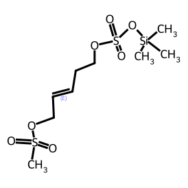 C[Si](C)(C)OS(=O)(=O)OCC/C=C/COS(C)(=O)=O